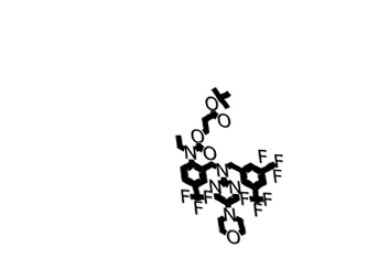 CCN(C(=O)OCCC(=O)OC(C)(C)C)c1ccc(C(F)(F)F)cc1CN(Cc1cc(C(F)(F)F)cc(C(F)(F)F)c1)c1ncc(N2CCOCC2)cn1